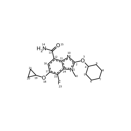 Cn1c(OC2CCCCC2)nc2c(C(N)=O)cc(OC3CC3)c(F)c21